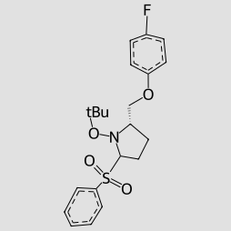 CC(C)(C)ON1C(S(=O)(=O)c2ccccc2)CC[C@H]1COc1ccc(F)cc1